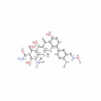 C=C1C2=C(O)[C@]3(O)C(=C)C(C(N)=O)=C(O)[C@@H](N(C)C)[C@@H]3C[C@@H]2Cc2c(-c3ccc(CC)c(/C=N/OC)c3)ccc(O)c21